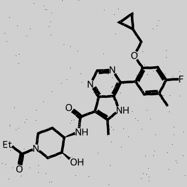 CCC(=O)N1CC[C@@H](NC(=O)c2c(C)[nH]c3c(-c4cc(C)c(F)cc4OCC4CC4)ncnc23)[C@@H](O)C1